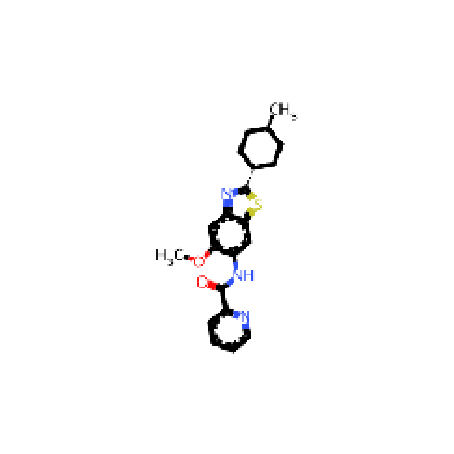 COc1cc2nc([C@H]3CC[C@H](C)CC3)sc2cc1NC(=O)c1ccccn1